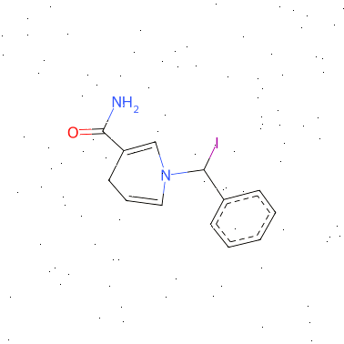 NC(=O)C1=CN(C(I)c2ccccc2)C=CC1